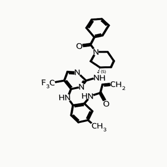 C=CC(=O)Nc1cc(C)ccc1Nc1nc(N[C@H]2CCCN(C(=O)c3ccccc3)C2)ncc1C(F)(F)F